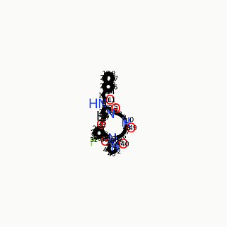 CN1CCC(=O)N2C[C@H](NC(=O)Cc3ccc4ccccc4c3)C[C@H]2COc2ccc(F)cc2C(=O)N(C)[C@H](C(=O)N2CCCC2)CCC1=O